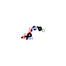 CCOC(=O)c1c(C)[nH]c2ccc(OCC(=O)N3CCN(Cc4ccc(Cl)cc4)CC3)cc12